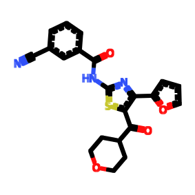 N#Cc1cccc(C(=O)Nc2nc(-c3ccco3)c(C(=O)C3CCOCC3)s2)c1